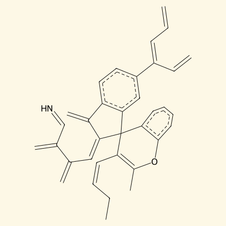 C=C/C=C(\C=C)c1ccc2c(c1)C1(C(/C=C\CC)=C(C)Oc3ccccc31)/C(=C/C(=C)C(=C)C=N)C2=C